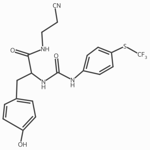 N#CCCNC(=O)C(Cc1ccc(O)cc1)NC(=O)Nc1ccc(SC(F)(F)F)cc1